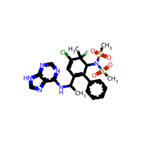 CC(Nc1ncnc2[nH]cnc12)C1=C(c2ccccc2)C(N(S(C)(=O)=O)S(C)(=O)=O)C(C)(F)C(Cl)=C1